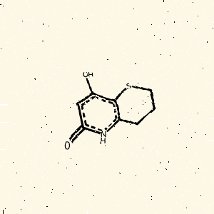 O=c1cc(O)c2c([nH]1)CCCS2